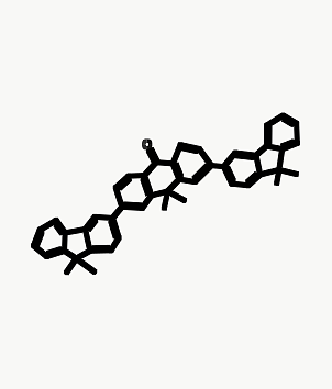 CC1(C)c2cc(-c3ccc4c(c3)-c3ccccc3C4(C)C)ccc2C(=O)c2ccc(-c3ccc4c(c3)-c3ccccc3C4(C)C)cc21